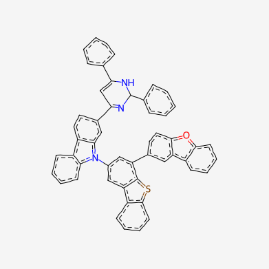 C1=C(c2ccccc2)NC(c2ccccc2)N=C1c1ccc2c3ccccc3n(-c3cc(-c4ccc5oc6ccccc6c5c4)c4sc5ccccc5c4c3)c2c1